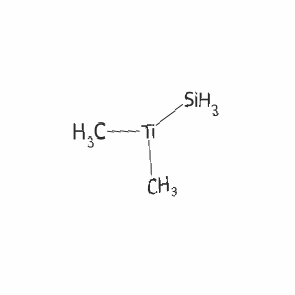 [CH3][Ti]([CH3])[SiH3]